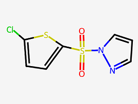 O=S(=O)(c1ccc(Cl)s1)n1cccn1